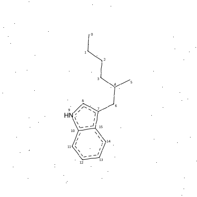 CCCCC(C)Cc1c[nH]c2ccccc12